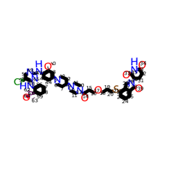 COc1cc(N2CCC(N3CCN(C(=O)CCOCCCSc4cccc5c4CN(C4CCC(=O)NC4=O)C5=O)CC3)CC2)ccc1Nc1ncc(Cl)c(Nc2ccccc2P(C)(C)=O)n1